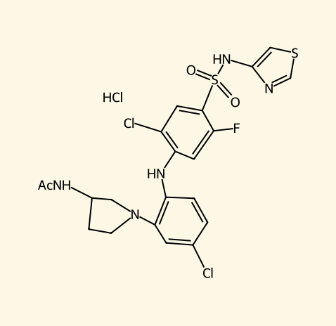 CC(=O)NC1CCN(c2cc(Cl)ccc2Nc2cc(F)c(S(=O)(=O)Nc3cscn3)cc2Cl)C1.Cl